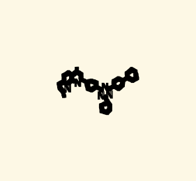 Cc1ccc2ccc3c(C)cc(-c4ccc(-c5nc(-c6ccccc6)nc(-c6ccc(-c7ccccc7)cc6)n5)cc4)nc3c2n1